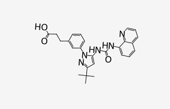 CC(C)(C)c1cc(NC(=O)Nc2cccc3cccnc23)n(-c2cccc(CCC(=O)O)c2)n1